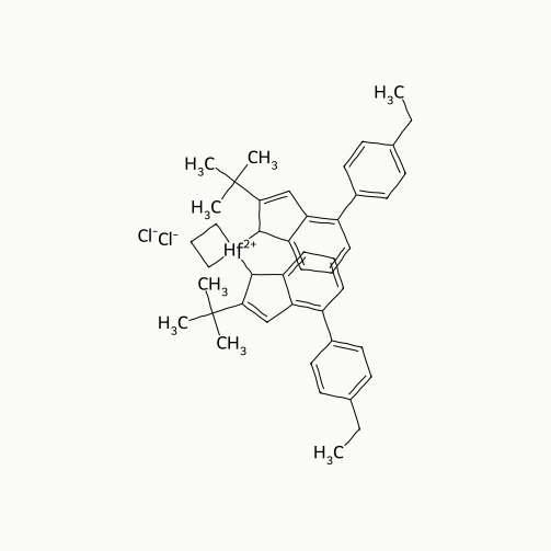 CCc1ccc(-c2cccc3c2C=C(C(C)(C)C)[CH]3[Hf+2]2([CH]3C(C(C)(C)C)=Cc4c(-c5ccc(CC)cc5)cccc43)[CH2]C[CH2]2)cc1.[Cl-].[Cl-]